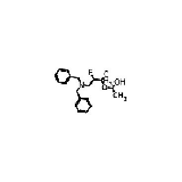 CC(O)OC(C)C(F)CN(Cc1ccccc1)Cc1ccccc1